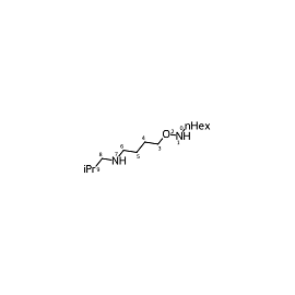 CCCCCCNOCCCCNCC(C)C